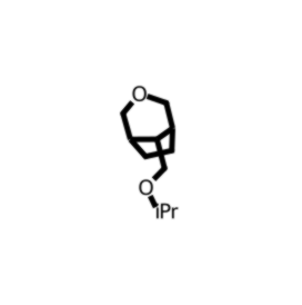 CC(C)OCC1C2CCC1COC2